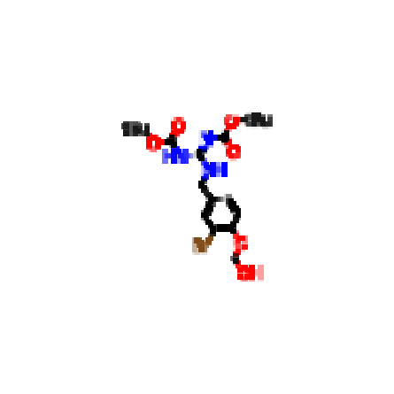 CC(C)(C)OC(=O)/N=C(\NCc1ccc(OCO)c(Br)c1)NC(=O)OC(C)(C)C